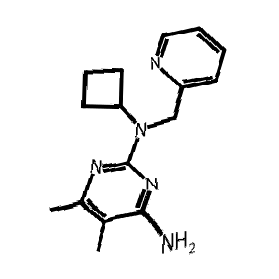 Cc1nc(N(Cc2ccccn2)C2CCC2)nc(N)c1C